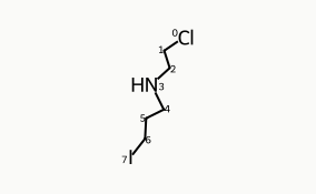 ClCCNCCCI